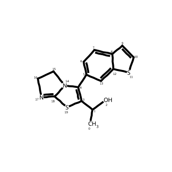 CC(O)C1=C(c2ccc3ccsc3c2)N2CCN=C2S1